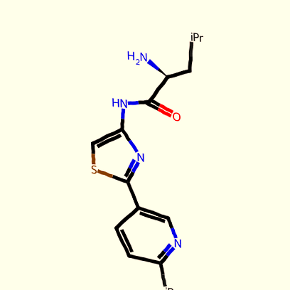 CC(C)C[C@H](N)C(=O)Nc1csc(-c2ccc(C(C)C)nc2)n1